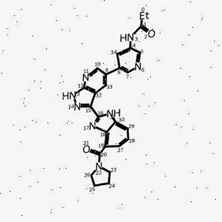 CCC(=O)Nc1cncc(-c2cnc3[nH]nc(-c4nc5c(C(=O)N6CCCC6)cccc5[nH]4)c3c2)c1